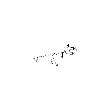 CC(C)(C)OC(=O)NCCCC(CCN)CCCCCN